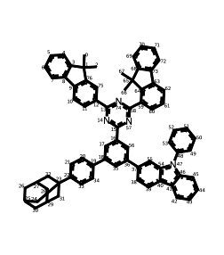 CC1(C)c2ccccc2-c2ccc(-c3nc(-c4cc(-c5ccc(C67CC8CC(CC(C8)C6)C7)cc5)cc(-c5ccc6c7ccccc7n(-c7ccccc7)c6c5)c4)nc(-c4cccc5c4C(C)(C)c4ccccc4-5)n3)cc21